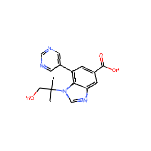 CC(C)(CO)n1cnc2cc(C(=O)O)cc(-c3cncnc3)c21